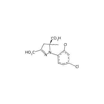 C[C@@]1(C(=O)O)CC(C(=O)O)=NN1c1ccc(Cl)cc1Cl